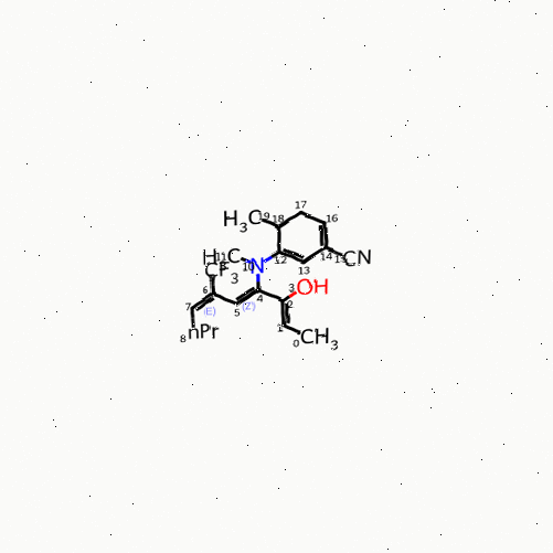 CC=C(O)/C(=C/C(=C\CCC)C(F)(F)F)N(C)C1=CC(C#N)=CCC1C